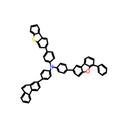 c1ccc(-c2cccc3c2oc2ccc(-c4ccc(N(c5ccc(-c6ccc7c(ccc8ccccc87)c6)cc5)c5ccc(-c6ccc7c(c6)sc6ccccc67)cc5)cc4)cc23)cc1